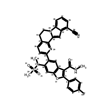 CNC(=O)c1c(-c2ccc(F)cc2)oc2cc(N(C)S(C)(=O)=O)c(-c3ccc4c(n3)-c3cc5c(C#N)cccc5n3CC4)cc12